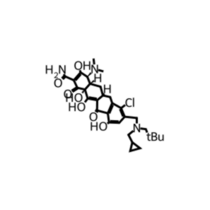 CN(C)[C@@H]1C(O)=C(C(N)=O)C(=O)[C@@]2(O)C(O)=C3C(=O)c4c(O)cc(CN(CC5CC5)CC(C)(C)C)c(Cl)c4C[C@H]3C[C@@H]12